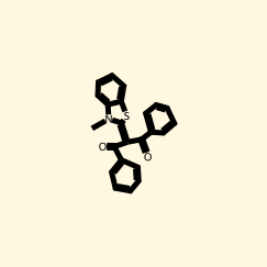 CN1C(=C(C(=O)c2ccccc2)C(=O)c2ccccc2)Sc2ccccc21